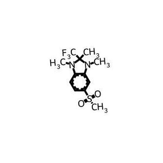 CN1c2ccc(S(C)(=O)=O)cc2N(C)C1(C)C(F)(F)F